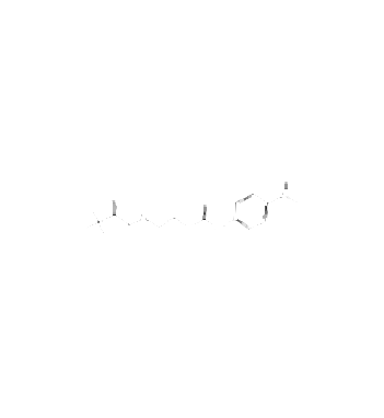 O=C(OCCNCC(=O)C(F)(F)F)Oc1ccc([N+](=O)[O-])cc1